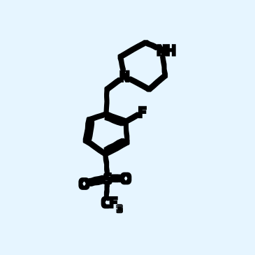 O=S(=O)(c1ccc(CN2CCNCC2)c(F)c1)C(F)(F)F